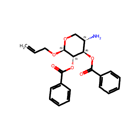 C=CCO[C@H]1OC[C@H](N)[C@@H](OC(=O)c2ccccc2)[C@@H]1OC(=O)c1ccccc1